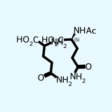 CC(=O)N[C@@H](CCC(N)=O)C(=O)O.NC(=O)CCC(N)C(=O)O